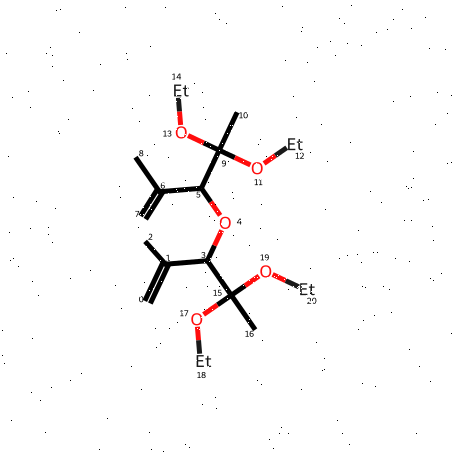 C=C(C)C(OC(C(=C)C)C(C)(OCC)OCC)C(C)(OCC)OCC